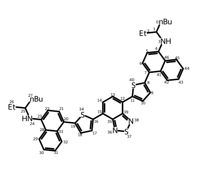 CCCCC(CC)Nc1ccc(-c2ccc(-c3ccc(-c4ccc(-c5ccc(NC(CC)CCCC)c6ccccc56)s4)c4nsnc34)s2)c2ccccc12